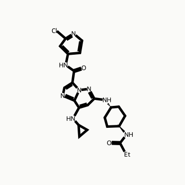 CCC(=O)N[C@H]1CC[C@H](Nc2cc(NC3CC3)c3ncc(C(=O)Nc4ccnc(Cl)c4)n3n2)CC1